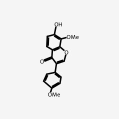 COc1ccc(-c2coc3c(OC)c(O)ccc3c2=O)cc1